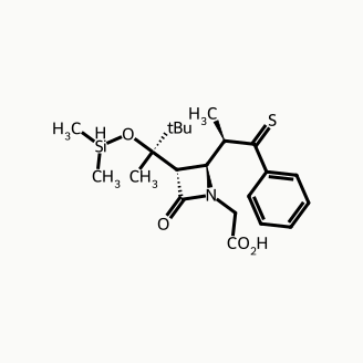 C[C@@H](C(=S)c1ccccc1)[C@@H]1[C@@H]([C@@](C)(O[SiH](C)C)C(C)(C)C)C(=O)N1CC(=O)O